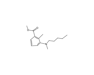 CCCCCN(C)c1cccc(C(=O)OC)c1C